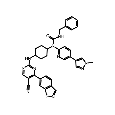 Cn1cc(-c2ccc(N(C(=O)NCc3ccccc3)C3CCC(Nc4ncc(C#N)c(-c5ccc6cnsc6c5)n4)CC3)nc2)cn1